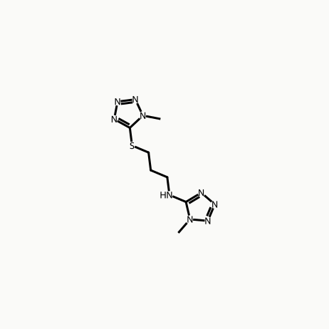 Cn1nnnc1NCCCSc1nnnn1C